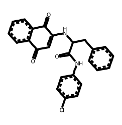 O=C1C=C(NC(Cc2ccccc2)C(=O)Nc2ccc(Cl)cc2)C(=O)c2ccccc21